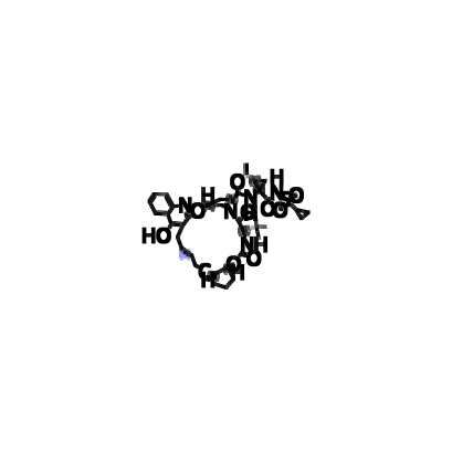 C=C[C@@H]1C[C@]1(NC(=O)[C@@H]1C[C@@H]2CN1C(=O)[C@H](C(C)(C)C)NC(=O)O[C@@H]1CCC[C@H]1CC/C=C/Cc1c(nc3ccccc3c1O)O2)C(=O)NS(=O)(=O)C1CC1